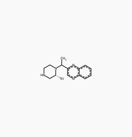 CC[C@@H]1CNCCN1C(C)c1cnc2ccccc2n1